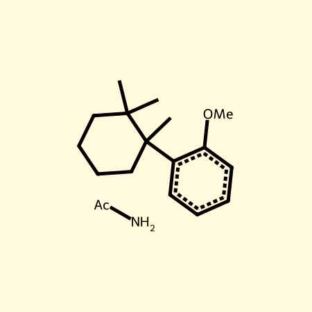 CC(N)=O.COc1ccccc1C1(C)CCCCC1(C)C